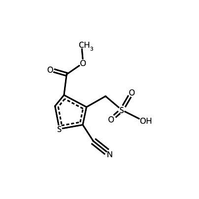 COC(=O)c1csc(C#N)c1CS(=O)(=O)O